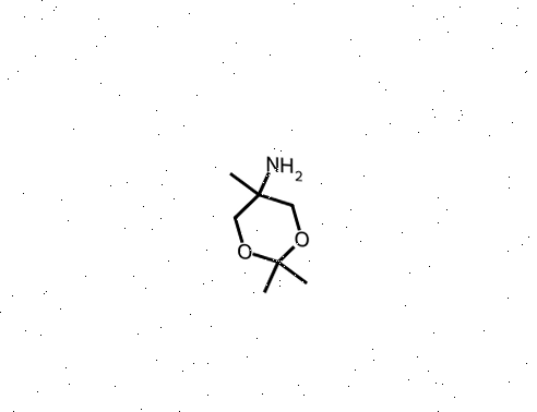 CC1(N)COC(C)(C)OC1